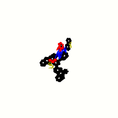 CC1(C)c2ccccc2-c2ccc(-c3cc(-c4cccc(N(c5ccccc5)c5ccc6sc7ccccc7c6c5)c4N(c4ccccc4)c4ccccc4)cc4c3sc3c5ccccc5ccc43)cc21